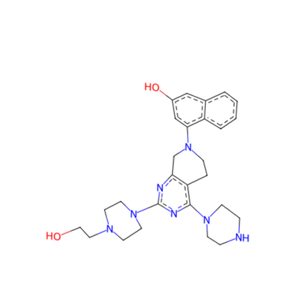 OCCN1CCN(c2nc3c(c(N4CCNCC4)n2)CCN(c2cc(O)cc4ccccc24)C3)CC1